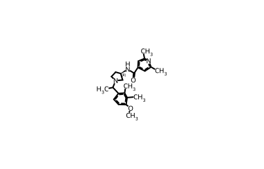 COc1ccc(C(C)N2CC[C@@H](NC(=O)c3cc(C)nc(C)c3)C2)c(C)c1C